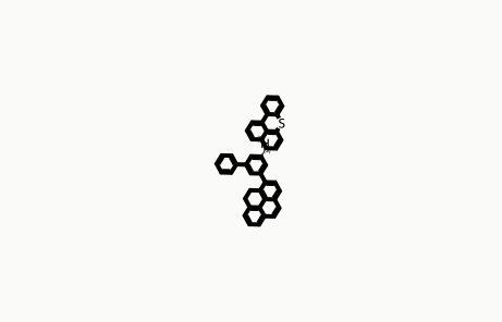 C1=C[C@@H]2C3=C(C=C[C@@H]2c2cc(-c4ccccc4)cc(-c4ccc5ccc6cccc7c6c5c4CC7)c2)Sc2ccccc2C3=C1